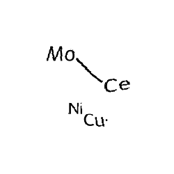 [Cu].[Mo][Ce].[Ni]